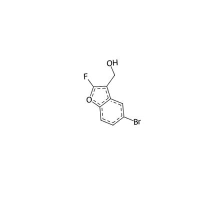 OCc1c(F)oc2ccc(Br)cc12